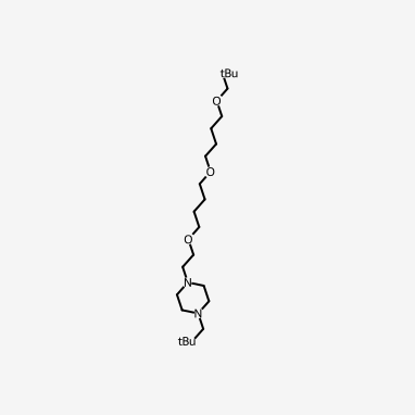 CC(C)(C)COCCCCOCCCCOCCN1CCN(CC(C)(C)C)CC1